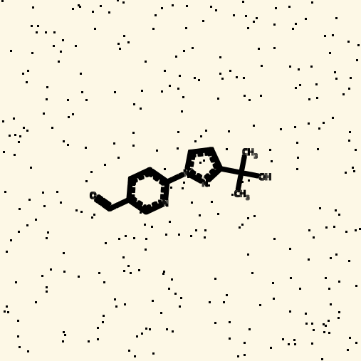 CC(C)(O)c1ccn(-c2ccc(C=O)cn2)n1